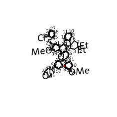 CCC1(CC)CCC2(CC1)c1ccccc1-c1c2c2c(c3cc(OC)c(Sc4ccccc4Cl)cc13)OC(c1ccc(OC)cc1)(c1ccc(N3CCOCC3)cc1)C=C2